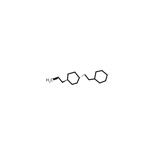 C=CC[C@H]1CC[C@H](CCC2CC[CH]CC2)CC1